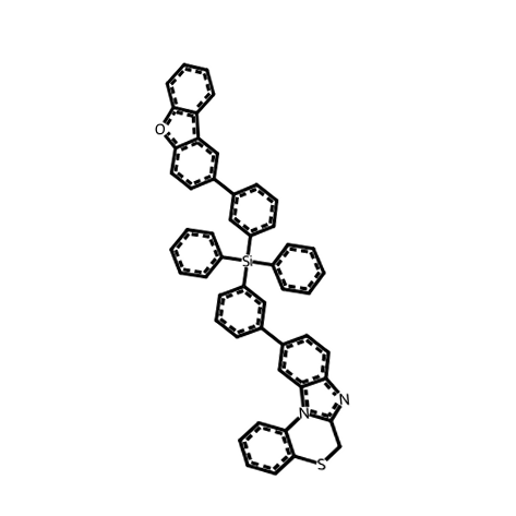 c1ccc([Si](c2ccccc2)(c2cccc(-c3ccc4oc5ccccc5c4c3)c2)c2cccc(-c3ccc4nc5n(c4c3)-c3ccccc3SC5)c2)cc1